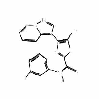 Cc1cccc(N(C)C(=O)c2nc(-c3cnn4ccccc34)c(Cl)s2)c1